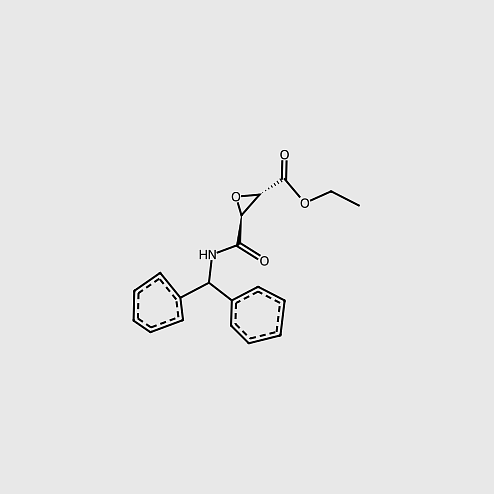 CCOC(=O)[C@H]1O[C@@H]1C(=O)NC(c1ccccc1)c1ccccc1